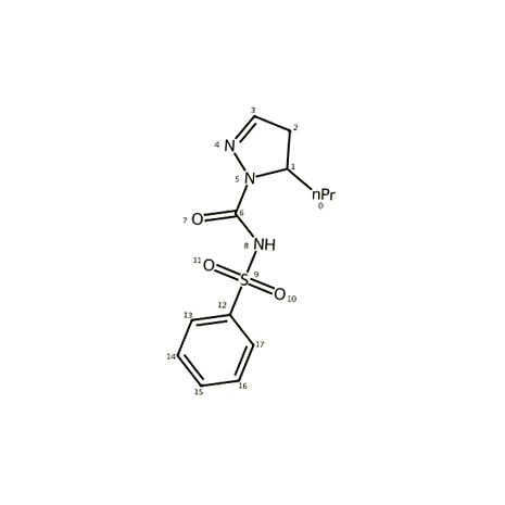 CCCC1CC=NN1C(=O)NS(=O)(=O)c1ccccc1